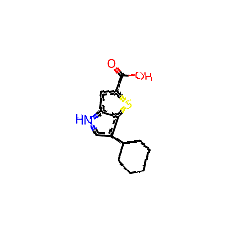 O=C(O)c1cc2[nH]cc(C3CCCCC3)c2s1